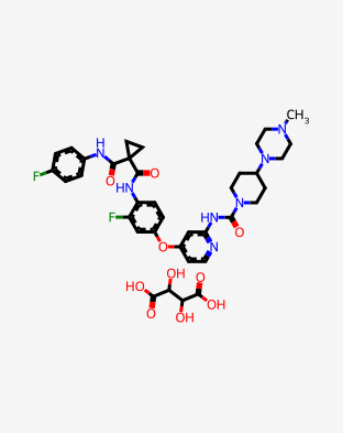 CN1CCN(C2CCN(C(=O)Nc3cc(Oc4ccc(NC(=O)C5(C(=O)Nc6ccc(F)cc6)CC5)c(F)c4)ccn3)CC2)CC1.O=C(O)C(O)C(O)C(=O)O